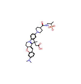 CC(CNC(=O)C1CCN(c2ccc3c(c2)C(C)(CC(=O)O)C2=[N+]3CCC3Oc4cc(N(C)C)ccc4C=C23)CC1)S(=O)(=O)[O-]